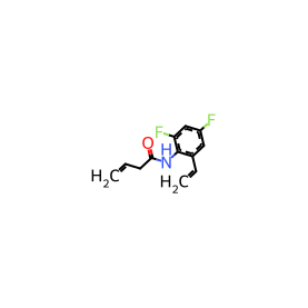 C=CCC(=O)Nc1c(F)cc(F)cc1C=C